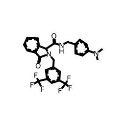 CN(C)c1ccc(CNC(=O)C2c3ccccc3C(=O)N2Cc2cc(C(F)(F)F)cc(C(F)(F)F)c2)cc1